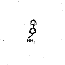 NCCc1ccc(-c2ncccn2)cc1